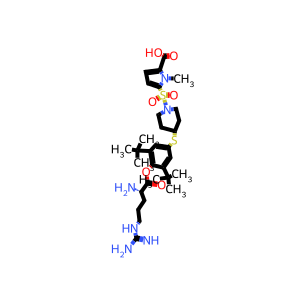 Cn1c(C(=O)O)ccc1S(=O)(=O)N1CCC(Sc2cc(C(C)(C)C)c(OC(=O)[C@@H](N)CCCNC(=N)N)c(C(C)(C)C)c2)CC1